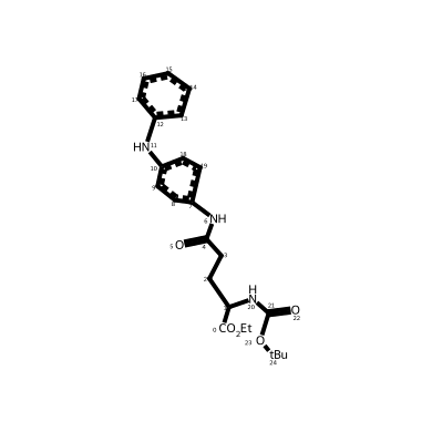 CCOC(=O)C(CCC(=O)Nc1ccc(Nc2ccccc2)cc1)NC(=O)OC(C)(C)C